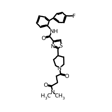 CN(C)C(=O)CCC(=O)N1CCC(c2nc(C(=O)Nc3ccccc3-c3ccc(F)cc3)cs2)CC1